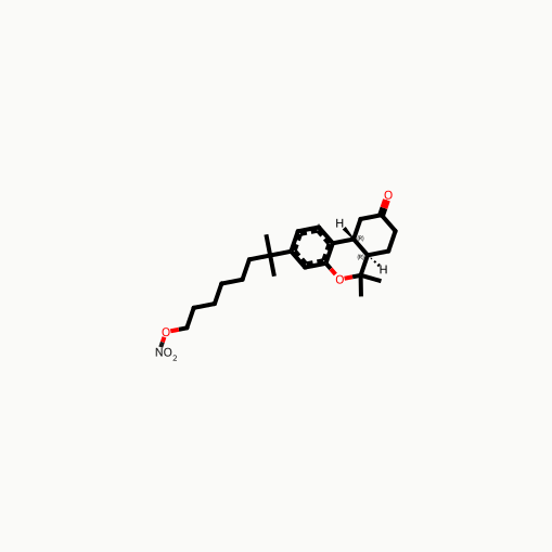 CC(C)(CCCCCCO[N+](=O)[O-])c1c[c]c2c(c1)OC(C)(C)[C@@H]1CCC(=O)C[C@@H]21